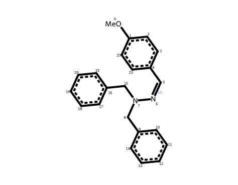 COc1ccc(/C=N\N(Cc2ccccc2)Cc2ccccc2)cc1